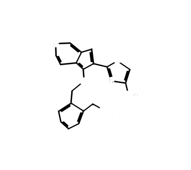 CC(C)(C)c1csc(-c2cc3coccc-3c2OCc2ccccc2CC(=O)O)n1